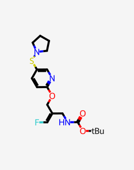 CC(C)(C)OC(=O)NC/C(=C/F)COc1ccc(SN2CCCC2)cn1